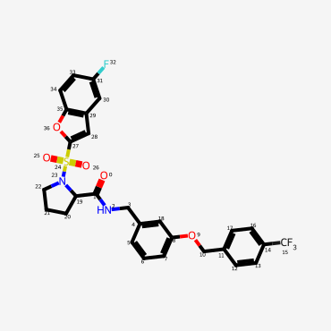 O=C(NCc1cccc(OCc2ccc(C(F)(F)F)cc2)c1)C1CCCN1S(=O)(=O)c1cc2cc(F)ccc2o1